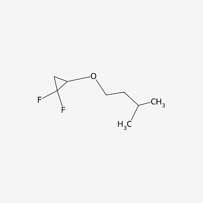 CC(C)CCOC1CC1(F)F